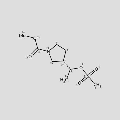 CC(OS(C)(=O)=O)[C@H]1CCN(C(=O)OC(C)(C)C)C1